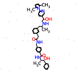 Cc1ccc(C)n1-c1ccc([C@@H](O)CNC(C)Cc2cccc(CC(=O)NCc3ccc(C(=O)N[C@@H](C)[C@H](O)c4ccccc4)cc3)c2)cn1